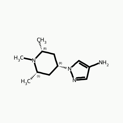 C[C@@H]1C[C@H](n2cc(N)cn2)C[C@H](C)N1C